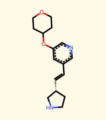 C(=C\[C@@H]1CCNC1)/c1cncc(OC2CCOCC2)c1